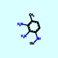 Cc1ccc(NC(C)(C)C)c(N)c1N